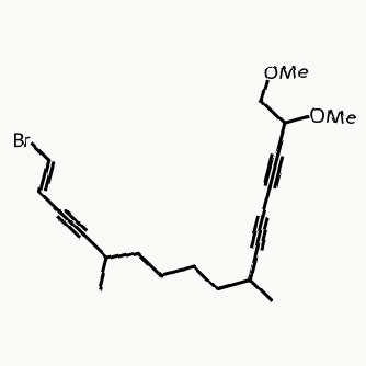 COCC(C#CC#CC(C)CCCCC(C)C#C/C=C/Br)OC